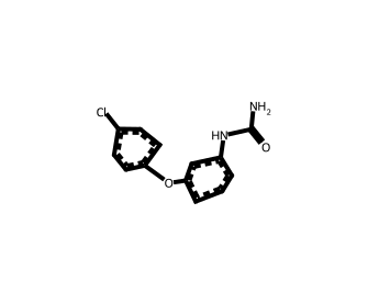 NC(=O)Nc1cccc(Oc2ccc(Cl)cc2)c1